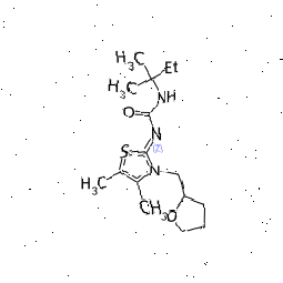 CCC(C)(C)NC(=O)/N=c1\sc(C)c(C)n1CC1CCCO1